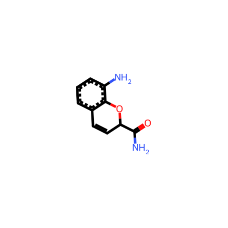 NC(=O)C1C=Cc2cccc(N)c2O1